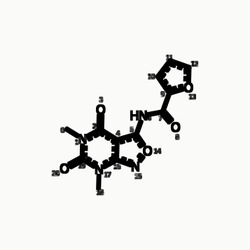 Cn1c(=O)c2c(NC(=O)c3ccco3)onc2n(C)c1=O